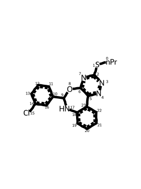 CCCSc1nnc2c(n1)OC(c1cccc(Cl)c1)Nc1ccccc1-2